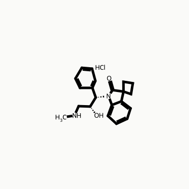 CNC[C@@H](O)[C@H](c1ccccc1)N1C(=O)C2(CCC2)c2ccccc21.Cl